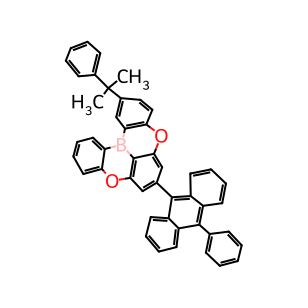 CC(C)(c1ccccc1)c1ccc2c(c1)B1c3ccccc3Oc3cc(-c4c5ccccc5c(-c5ccccc5)c5ccccc45)cc(c31)O2